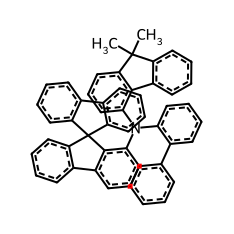 CC1(C)c2ccccc2-c2c(N(c3ccccc3-c3ccccc3)c3cccc4c3C3(c5ccccc5-c5ccccc53)c3ccccc3-4)cccc21